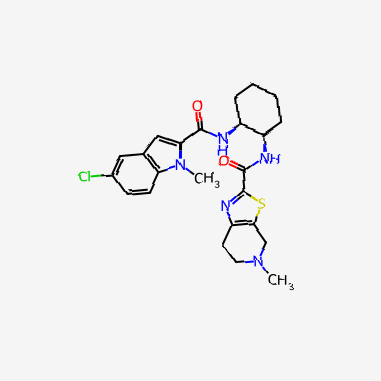 CN1CCc2nc(C(=O)N[C@@H]3CCCC[C@@H]3NC(=O)c3cc4cc(Cl)ccc4n3C)sc2C1